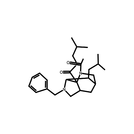 CC(=O)N1CC2CC3CN(Cc4ccccc4)C(C2CC(C)C)C31C(=O)NCC(C)C